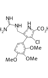 COc1ccc(-c2c(CNC(=N)N)[nH]c(C(=O)O)c2Cl)c(OC)c1OC